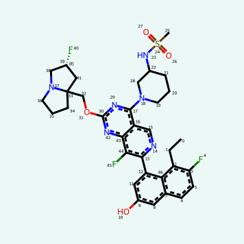 CCc1c(F)ccc2cc(O)cc(-c3ncc4c(N5CCCC(NS(C)(=O)=O)C5)nc(OCC56CCCN5C[C@H](F)C6)nc4c3F)c12